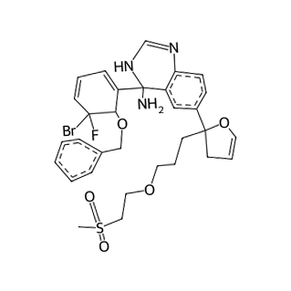 CS(=O)(=O)CCOCCCC1(c2ccc3c(c2)C(N)(C2=CC=CC(F)(Br)C2OCc2ccccc2)NC=N3)CC=CO1